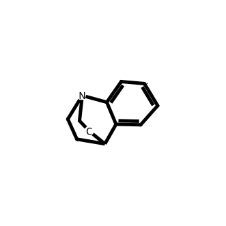 [c]1ccc2c(c1)N1CCC2CC1